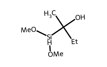 CCC(C)(O)[SiH](OC)OC